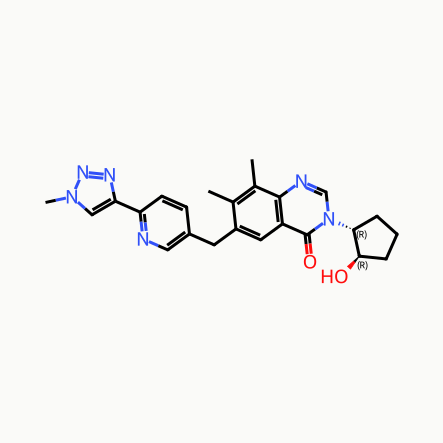 Cc1c(Cc2ccc(-c3cn(C)nn3)nc2)cc2c(=O)n([C@@H]3CCC[C@H]3O)cnc2c1C